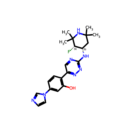 CC1(C)C[C@H](Nc2ncc(-c3ccc(-n4ccnc4)cc3O)nn2)[C@H](F)C(C)(C)N1